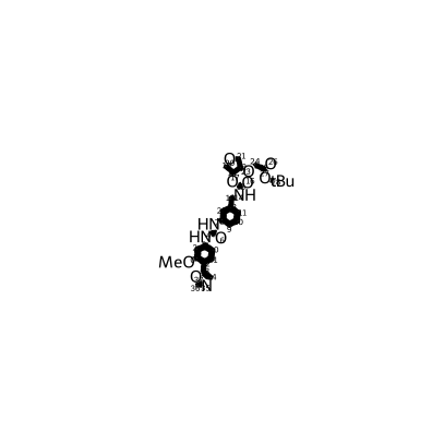 COc1cc(NC(=O)Nc2cccc(CNC(=O)OC3COCC3OCC(=O)OC(C)(C)C)c2)ccc1-c1cnco1